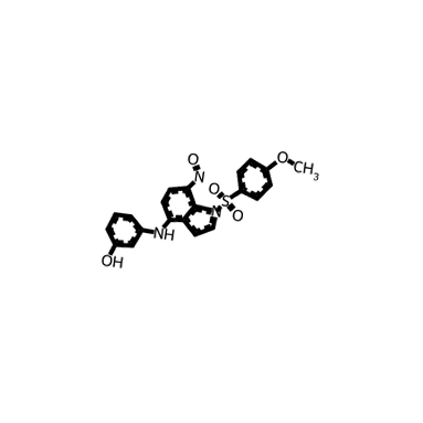 COc1ccc(S(=O)(=O)n2ccc3c(Nc4cccc(O)c4)ccc(N=O)c32)cc1